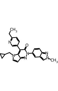 CCc1ccc(-c2c(=O)n(-c3ccc4nn(C)cc4c3)nc3ccn(CC4CC4)c23)cn1